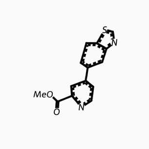 COC(=O)c1cc(-c2ccc3scnc3c2)ccn1